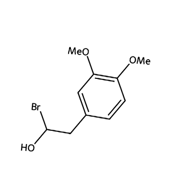 COc1ccc(CC(O)Br)cc1OC